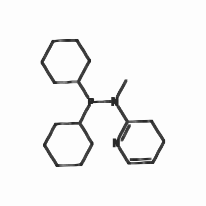 CN(C1=NC=CCC1)P(C1CCCCC1)C1CCCCC1